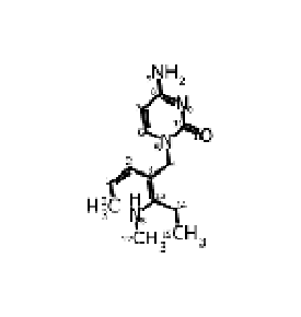 C/C=C\C(Cn1ccc(N)nc1=O)=C(\CC)NC